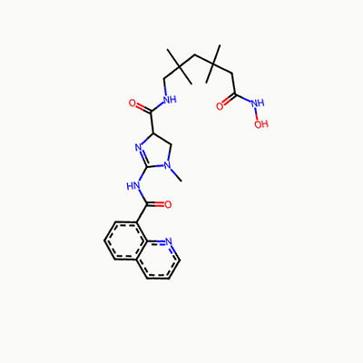 CN1CC(C(=O)NCC(C)(C)CC(C)(C)CC(=O)NO)N=C1NC(=O)c1cccc2cccnc12